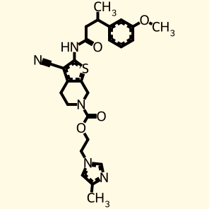 COc1cccc(C(C)CC(=O)Nc2sc3c(c2C#N)CCN(C(=O)OCCn2cnc(C)c2)C3)c1